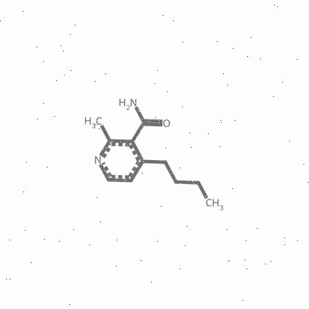 CCCCc1ccnc(C)c1C(N)=O